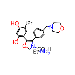 CC(C)c1cc(C2=C(c3ccc(CN4CCOCC4)cc3)N(C(=O)O)CO2)c(O)cc1O.CCN